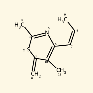 C=C1SC(C)=NC(/C=C\C)=C1C